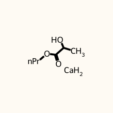 CCCOC(=O)C(C)O.[CaH2]